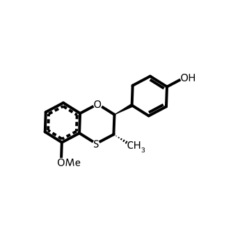 COc1cccc2c1S[C@@H](C)[C@H](C1C=CC(O)=CC1)O2